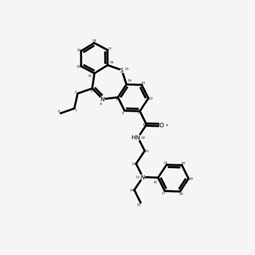 CCCC1=Nc2cc(C(=O)NCCN(CC)c3ccccc3)ccc2Sc2ccccc21